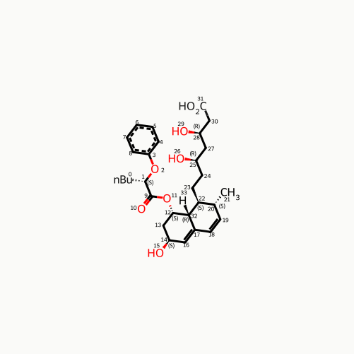 CCCC[C@H](Oc1ccccc1)C(=O)O[C@H]1C[C@H](O)C=C2C=C[C@@H](C)[C@H](CC[C@@H](O)C[C@@H](O)CC(=O)O)[C@H]21